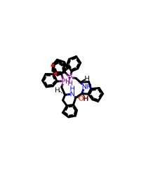 O[C@@]12N[C@@H](Cc3ccccc31)C[PH](c1ccccc1)(c1ccccc1)[PH](c1ccccc1)(c1ccccc1)C[C@@H]1Cc3ccccc3[C@@H]2N1